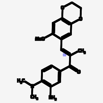 COc1cc2c(cc1/C=C(\C)C(=O)c1ccc(N(C)C)c(N)c1)OCCO2